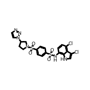 O=S(=O)(Nc1ccc(Cl)c2c(Cl)c[nH]c12)c1ccc(S(=O)(=O)N2CCC(n3ccnn3)C2)cc1